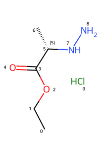 CCOC(=O)[C@H](C)NN.Cl